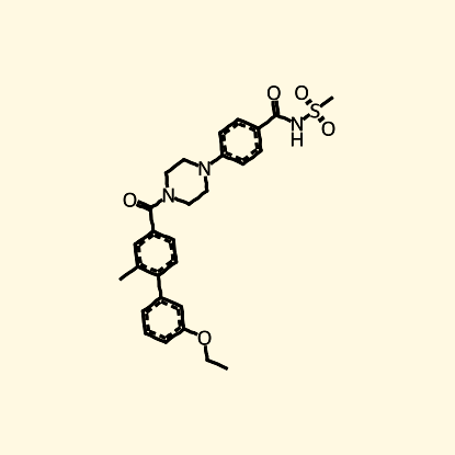 CCOc1cccc(-c2ccc(C(=O)N3CCN(c4ccc(C(=O)NS(C)(=O)=O)cc4)CC3)cc2C)c1